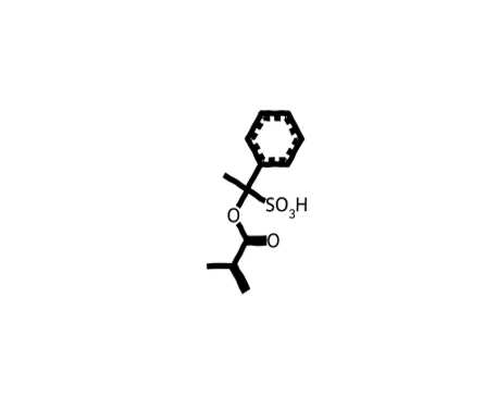 C=C(C)C(=O)OC(C)(c1ccccc1)S(=O)(=O)O